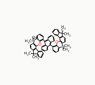 CC1(C)c2ccccc2-c2c1ccc1c2Oc2c(-c3c4ccccc4c(-c4cccc5c4Oc4c(ccc6c4-c4ccccc4C6(C)C)[Si]5(C)C)c4ccccc34)cccc2[Si]1(C)C